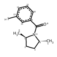 C[C@@H]1CC[C@@H](C)N1C(=O)c1cccc(I)c1